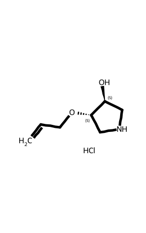 C=CCO[C@H]1CNC[C@@H]1O.Cl